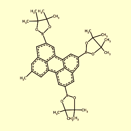 Cc1cc2cc(B3OC(C)(C)C(C)(C)O3)cc3c4cc(B5OC(C)(C)C(C)(C)O5)cc5cc(B6OC(C)(C)C(C)(C)O6)cc(c(c1)c23)c54